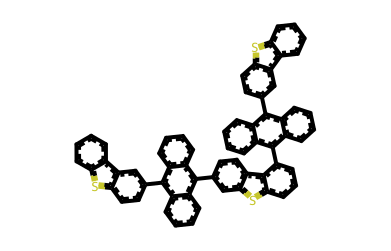 c1ccc2c(c1)sc1ccc(-c3c4ccccc4c(-c4ccc5c(c4)sc4cccc(-c6c7ccccc7c(-c7ccc8sc9ccccc9c8c7)c7ccccc67)c45)c4ccccc34)cc12